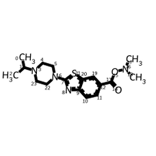 CC(C)N1CCN(c2nc3ccc(C(=O)ON(C)C)cc3s2)CC1